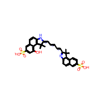 CC1(C)C(/C=C/C=C/C=C2/Nc3ccc4cc(S(=O)(=O)O)cc(O)c4c3C2(C)C)=Nc2ccc3cc(S(=O)(=O)O)ccc3c21